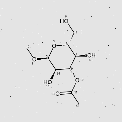 CO[C@H]1O[C@H](CO)[C@@H](O)[C@H](OC(C)=O)[C@H]1O